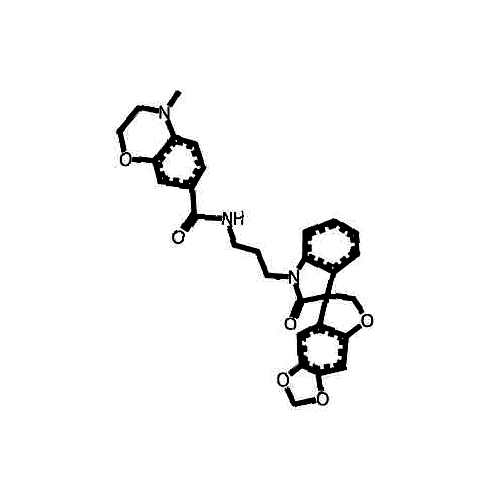 CN1CCOc2cc(C(=O)NCCCN3C(=O)C4(COc5cc6c(cc54)OCO6)c4ccccc43)ccc21